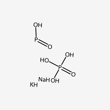 O=P(O)(O)O.O=PO.[KH].[NaH]